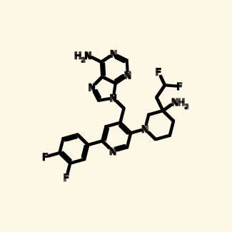 Nc1ncnc2c1ncn2Cc1cc(-c2ccc(F)c(F)c2)ncc1N1CCCC(N)(CC(F)F)C1